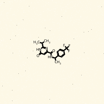 CC(C)c1nc(C(=O)NC(C)c2ccc(C(F)(F)F)cc2)cc(=O)[nH]1